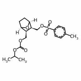 Cc1ccc(S(=O)(=O)OC[C@H]2[C@@H](COC(=O)OC(C)C)[C@H]3CC[C@@H]2O3)cc1